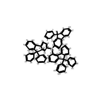 CC1(c2ccccc2)c2ccccc2-c2ccc(N(c3ccc4c(c3)C(c3ccccc3)(c3ccccc3)c3ccccc3-4)c3cccc4c3-c3ccccc3C4(c3ccccc3)c3ccccc3)cc21